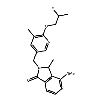 CNc1nccc2c1C(C)N(Cc1cnc(OCC(C)F)c(C)c1)C2=O